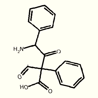 NC(C(=O)C([C]=O)(C(=O)O)c1ccccc1)c1ccccc1